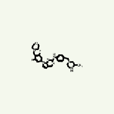 Fc1cc(-n2ccc3cnc(Nc4ccc(CN5CCNC(C(F)(F)F)C5)cc4)nc32)cc(F)c1CN1CCOCC1